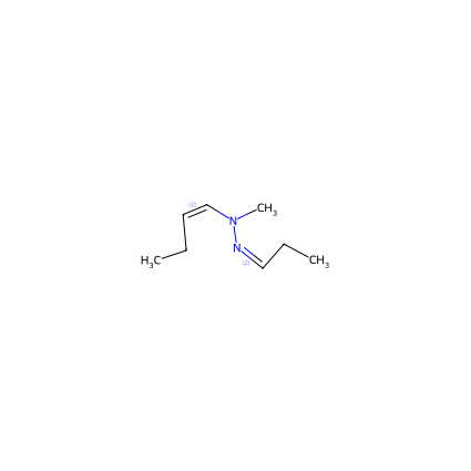 CC/C=C\N(C)/N=C\CC